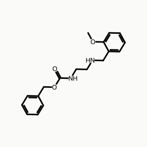 COc1ccccc1CNCCNC(=O)OCc1ccccc1